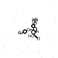 CN(C)Cc1ccc(OCC[C@]23CC[C@@](O)(C#CCl)C[C@@H]2CCc2cc(OS(=O)(=O)N(C)C)ccc23)cc1